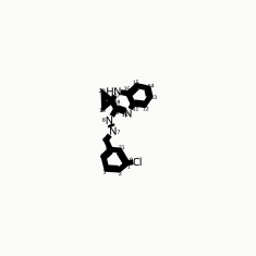 Clc1cccc(CN=NC2=Nc3ccccc3NC23CC3)c1